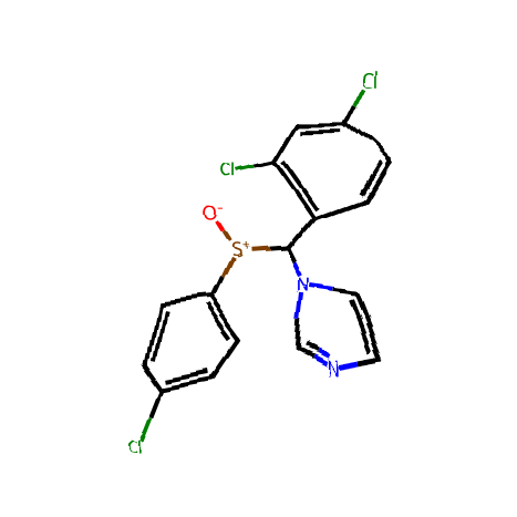 [O-][S+](c1ccc(Cl)cc1)C(c1ccc(Cl)cc1Cl)n1ccnc1